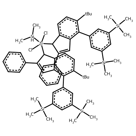 C[SiH](C)[Zr]([Cl])([Cl])([CH]1C(c2ccccc2)=Cc2c1ccc(C(C)(C)C)c2-c1cc([Si](C)(C)C)cc([Si](C)(C)C)c1)[CH]1C(c2ccccc2)=Cc2c1ccc(C(C)(C)C)c2-c1cc([Si](C)(C)C)cc([Si](C)(C)C)c1